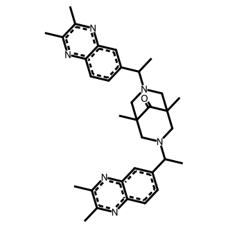 Cc1nc2ccc(C(C)N3CC4(C)CN(C(C)c5ccc6nc(C)c(C)nc6c5)CC(C)(C3)C4=O)cc2nc1C